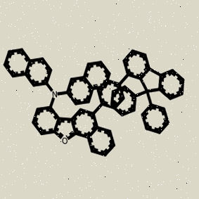 c1ccc(C2(c3ccccc3)c3ccccc3-c3cccc(-c4ccc(-c5cc6c(oc7cccc(N(c8ccc9ccccc9c8)c8ccc9ccccc9c8)c76)c6ccccc56)cc4)c32)cc1